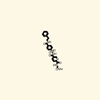 COCNC(=O)c1ccc(C(=O)NS(=O)(=O)c2ccc(C(=O)NCCc3ccccc3)cc2)cn1